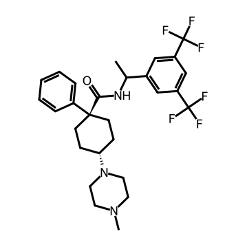 CC(NC(=O)[C@]1(c2ccccc2)CC[C@@H](N2CCN(C)CC2)CC1)c1cc(C(F)(F)F)cc(C(F)(F)F)c1